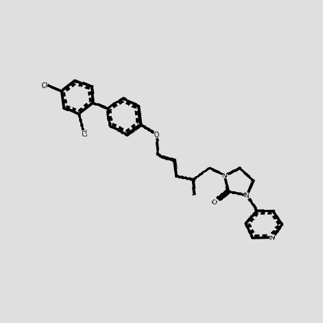 CC(CCCOc1ccc(-c2ccc(Cl)cc2Cl)cc1)CN1CCN(c2ccncc2)C1=O